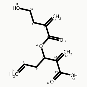 C=CCC(OC(=O)C(=C)CCO)C(=C)C(=O)O